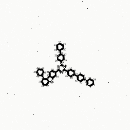 c1ccc(-c2ccc(-c3ccc(-c4nc(-c5ccc(-c6ccccc6)cc5)nc(-c5ccc6c(c5)sc5cccc(-c7ccccc7)c56)n4)cc3)cc2)cc1